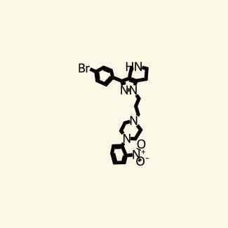 O=[N+]([O-])c1ccccc1N1CCN(CCCn2nc(-c3ccc(Br)cc3)c3c2CCNC3)CC1